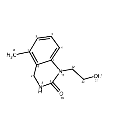 Cc1cccc2c1CNC(=O)N2CCO